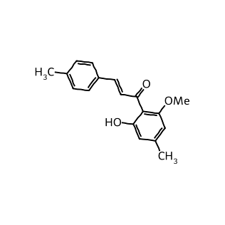 COc1cc(C)cc(O)c1C(=O)/C=C/c1ccc(C)cc1